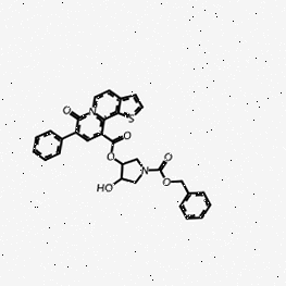 O=C(OC1CN(C(=O)OCc2ccccc2)CC1O)c1cc(-c2ccccc2)c(=O)n2ccc3ccsc3c12